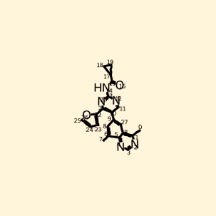 Cc1ncnc2c(C)cc(-c3cnc(NC(=O)C4CC4)nc3-c3ccco3)cc12